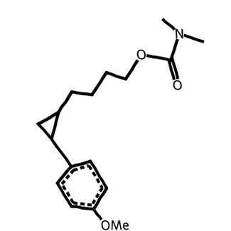 COc1ccc(C2CC2CCCCOC(=O)N(C)C)cc1